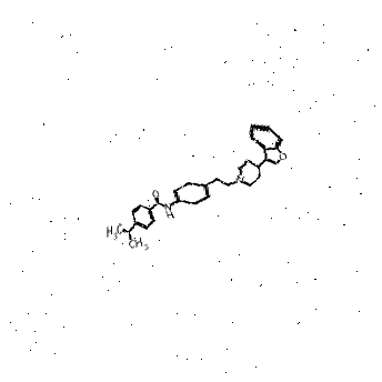 CC(C)c1ccc(C(=O)NC2CCC(CCN3CCC(c4coc5ccccc45)CC3)CC2)cc1